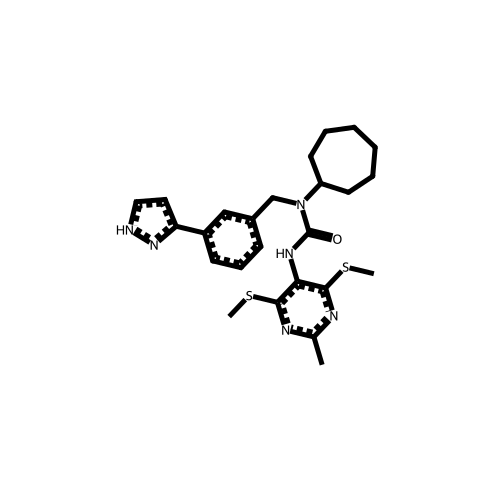 CSc1nc(C)nc(SC)c1NC(=O)N(Cc1cccc(-c2cc[nH]n2)c1)C1CCCCCC1